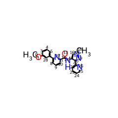 COc1cccc(-c2cccc(C(=O)Nc3cn(C)nc3-c3ccccn3)n2)c1